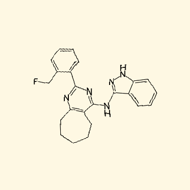 FCc1ccccc1-c1nc2c(c(Nc3n[nH]c4ccccc34)n1)CCCCC2